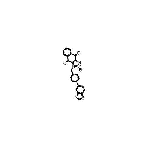 O=C1c2ccccc2C(=O)c2c1n[n+]([O-])n2Cc1ccc(-c2ccc3scnc3c2)cc1